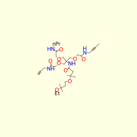 C#CCNC(=O)COCC(COCC(=O)NCC#CC)(COCC(=O)NCCC)NC(=O)CC(C)(C)OCCC(C)(C)OCC